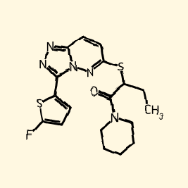 CCC(Sc1ccc2nnc(-c3ccc(F)s3)n2n1)C(=O)N1CCCCC1